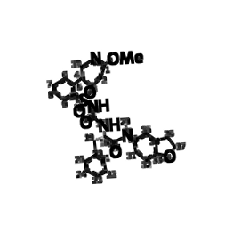 COc1ccc(-c2ccccc2S(=O)(=O)NC(=O)N[C@@H](Cc2ccccc2)C(=O)N(C)c2ccc3c(c2)CCO3)cn1